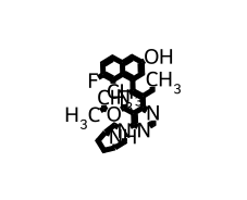 CCc1c(-c2cc(O)cc3ccc(F)c(C)c23)nc(OC(C)C)c2c(N3CC4CCC(C3)N4)ncnc12